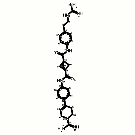 N=C(N)NCCc1ccc(NC(=O)C23CC(C(=O)Nc4ccc(C5=CCN(C(=N)N)CC5)cc4)(C2)C3)cc1